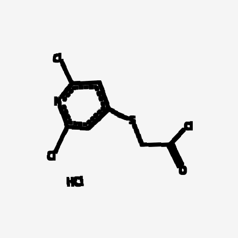 Cl.O=C(Cl)CSc1cc(Cl)nc(Cl)c1